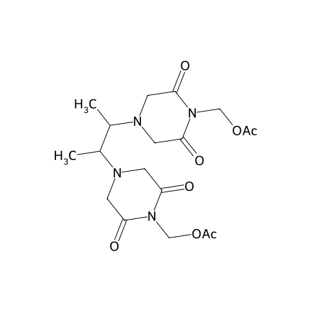 CC(=O)OCN1C(=O)CN(C(C)C(C)N2CC(=O)N(COC(C)=O)C(=O)C2)CC1=O